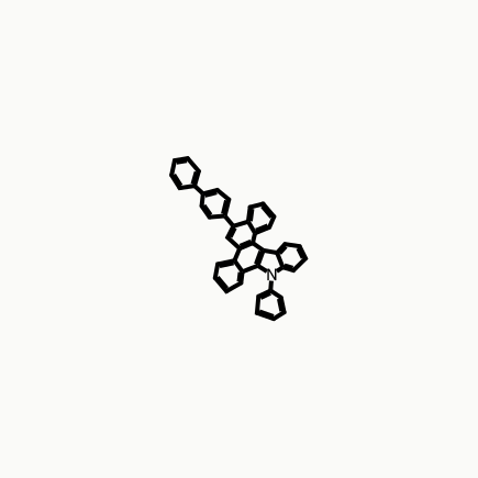 c1ccc(-c2ccc(-c3cc4c5ccccc5c5c(c6ccccc6n5-c5ccccc5)c4c4ccccc34)cc2)cc1